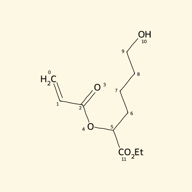 C=CC(=O)OC(CCCCO)C(=O)OCC